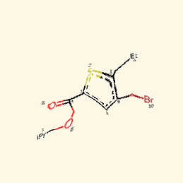 CCc1sc(C(=O)OC(C)C)cc1Br